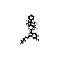 CC1(c2ccccc2)C(=O)Nc2nc(-c3nc(CCC(F)(F)C(F)(F)F)n4cc(Cl)ccc34)nc(N)c21